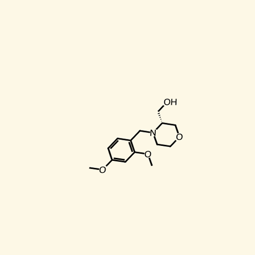 COc1ccc(CN2CCOC[C@H]2CO)c(OC)c1